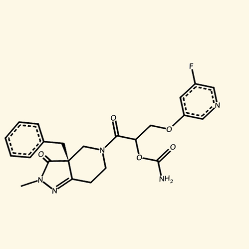 CN1N=C2CCN(C(=O)C(COc3cncc(F)c3)OC(N)=O)C[C@@]2(Cc2ccccc2)C1=O